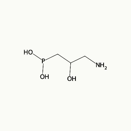 NCC(O)CP(O)O